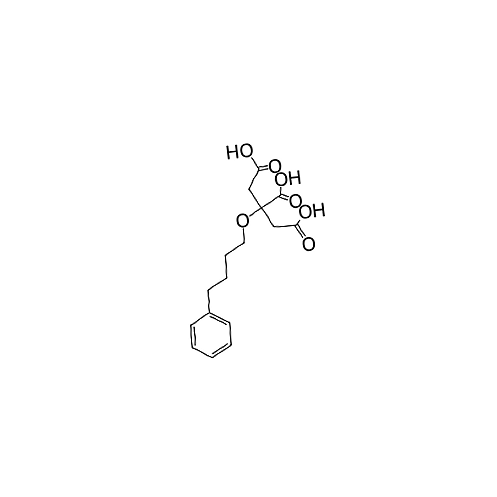 O=C(O)CC(CC(=O)O)(OCCCCc1ccccc1)C(=O)O